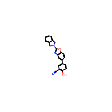 N#Cc1cc(-c2ccc3oc(N4Cc5ccccc5C4)nc3c2)ccc1O